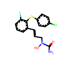 NC(=O)N(O)CC=Cc1cccc(F)c1Sc1ccc(Cl)cc1